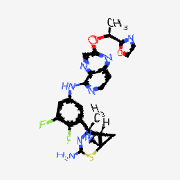 C[C@H](Oc1cnc2c(Nc3cc(F)c(F)c([C@@]4(C)N=C(N)S[C@@]5(C#N)C[C@H]54)c3)nccc2n1)c1ncco1